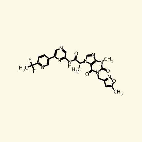 Cc1cc(Cn2c(=O)c3c(ncn3[C@@H](C)C(=O)Nc3cncc(-c4ccc(C(C)(F)F)nc4)n3)n(C)c2=O)no1